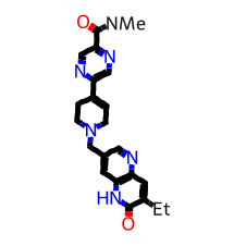 CCc1cc2ncc(CN3CC=C(c4cnc(C(=O)NC)cn4)CC3)cc2[nH]c1=O